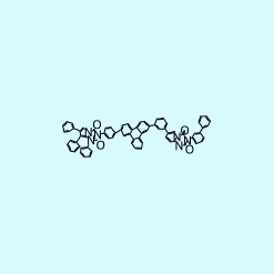 O=c1nc2ccc(-c3cccc(-c4ccc5c6ccc(-c7ccc(-n8c(=O)n(-c9ccccc9)c9c(-c%10ccccc%10)c(-c%10ccccc%10)cn9c8=O)cc7)cc6c6ccccc6c5c4)c3)cn2c(=O)n1-c1cccc(-c2ccccc2)c1